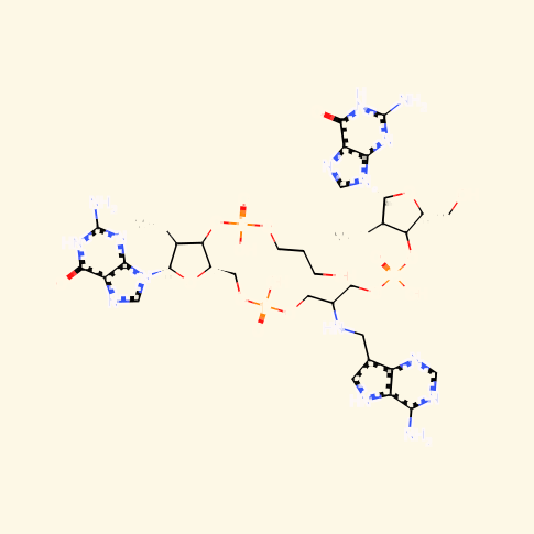 COC1C(OP(=O)(O)OCC(COP(=O)(O)OC[C@H]2O[C@@H](n3cnc4c(=O)[nH]c(N)nc43)C(OC)C2OP(=O)(O)OCCCO)NCc2c[nH]c3c(N)ncnc23)[C@@H](CO)O[C@H]1n1cnc2c(=O)[nH]c(N)nc21